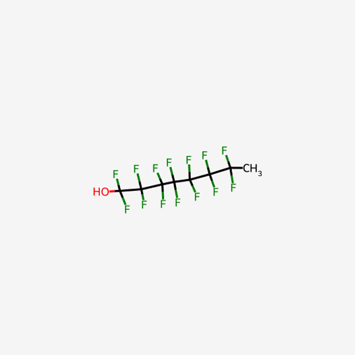 CC(F)(F)C(F)(F)C(F)(F)C(F)(F)C(F)(F)C(F)(F)C(O)(F)F